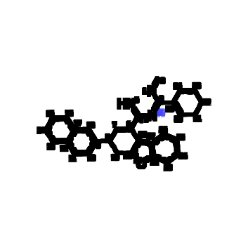 C=N/C(=N\C(=N)C1=CC(c2ccc3ccccc3c2)Cc2oc3ccccc3c21)C1=CCCC=C1